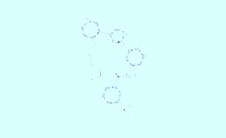 Cc1ccc(NC(=O)c2cccc(C(F)(F)F)c2)cc1-n1cc(-c2cnccc2OCC2CCCC2)cn1